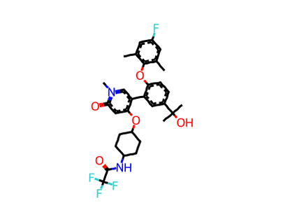 Cc1cc(F)cc(C)c1Oc1ccc(C(C)(C)O)cc1-c1cn(C)c(=O)cc1OC1CCC(NC(=O)C(F)(F)F)CC1